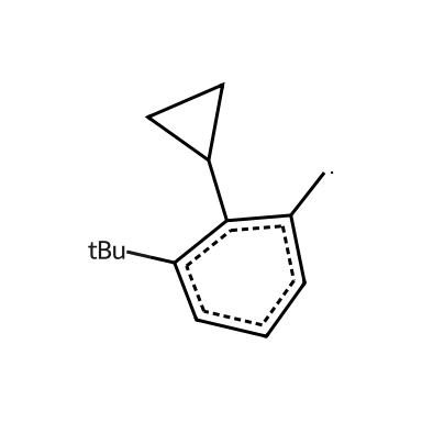 [CH2]c1cccc(C(C)(C)C)c1C1CC1